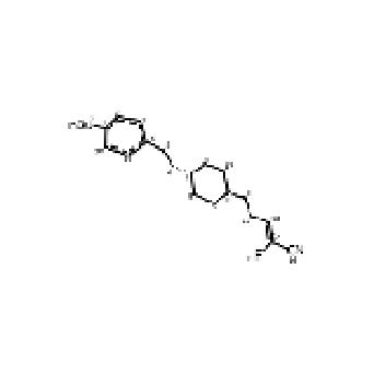 CCCCc1ccc(CC[C@H]2CC[C@H](CCC=C(F)C#N)CC2)cc1